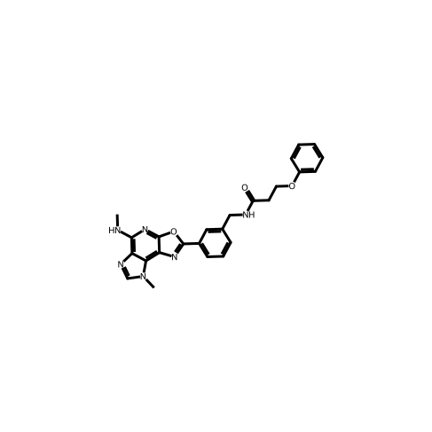 CNc1nc2oc(-c3cccc(CNC(=O)CCOc4ccccc4)c3)nc2c2c1ncn2C